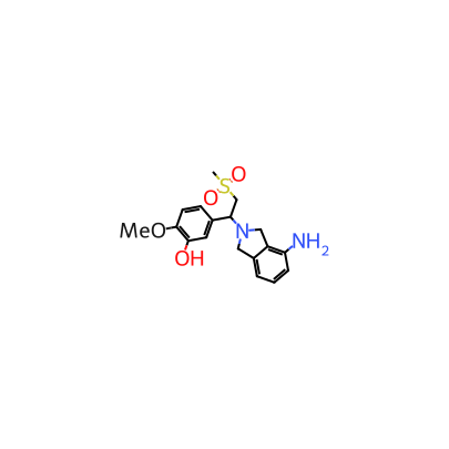 COc1ccc(C(CS(C)(=O)=O)N2Cc3cccc(N)c3C2)cc1O